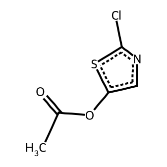 CC(=O)Oc1cnc(Cl)s1